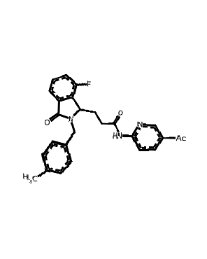 CC(=O)c1ccc(NC(=O)CCC2c3c(F)cccc3C(=O)N2Cc2ccc(C)cc2)nc1